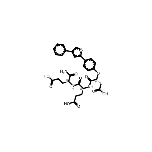 NC(=O)[C@H](CCC(=O)O)NC(=O)[C@H](CCC(=O)O)NC(=O)[C@@H](CC(=O)O)Oc1ccc(-c2cc(-c3ccccc3)cs2)cc1